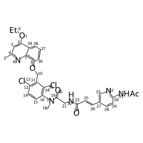 CCOc1cc(C)nc2c(OCc3c(Cl)ccc(N(C)C(=O)CNC(=O)C=Cc4ccc(NC(C)=O)nc4)c3Cl)cccc12